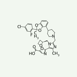 Cc1nc(CN2CCC(c3cccc4c3O[C@@](C)(c3ccc(Cl)cc3F)O4)CC2)n(C[C@@H]2CCO2)c1-c1ncc(C(=O)O)o1